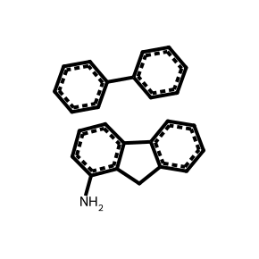 Nc1cccc2c1Cc1ccccc1-2.c1ccc(-c2ccccc2)cc1